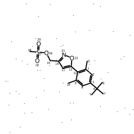 Cc1cc(C(C)(C)C)cc(C)c1-c1cc(COS(C)(=O)=O)no1